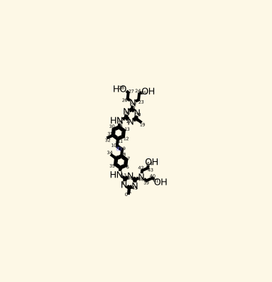 Cc1nc(Nc2ccc(/C=C/c3ccc(Nc4nc(C)nc(N(CCO)CCO)n4)cc3C)c(C)c2)nc(N(CCO)CCO)n1